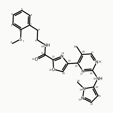 CSc1ccccc1CCNC(=O)c1nc(-c2nc(Nc3ccnn3C)ncc2C)co1